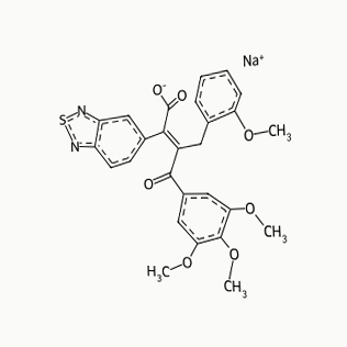 COc1ccccc1C/C(C(=O)c1cc(OC)c(OC)c(OC)c1)=C(\C(=O)[O-])c1ccc2nsnc2c1.[Na+]